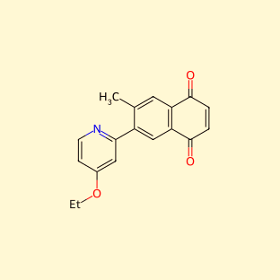 CCOc1ccnc(-c2cc3c(cc2C)C(=O)C=CC3=O)c1